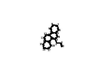 C=CCc1cc2ccccc2c2ccc3ccccc3c12